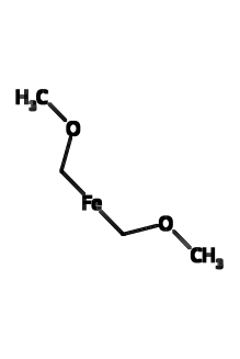 CO[CH2][Fe][CH2]OC